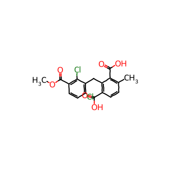 COC(=O)c1ccc(Cl)c(Cc2c(C(=O)O)ccc(C)c2C(=O)O)c1Cl